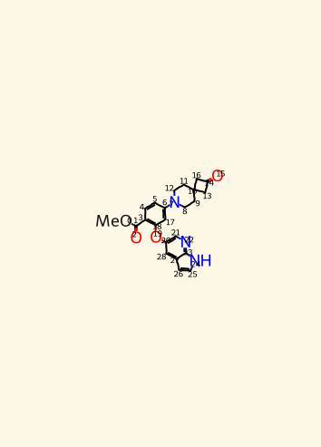 COC(=O)c1ccc(N2CCC3(CC2)CC(=O)C3)cc1Oc1cnc2[nH]ccc2c1